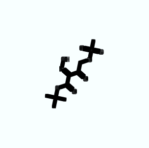 CC(C)(C)OC(=O)C(=NO)C(=O)COS(C)(=O)=O